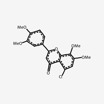 COc1ccc(-c2cc(=O)c3c(Cl)cc(OC)c(OC)c3o2)cc1OC